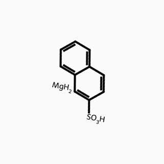 O=S(=O)(O)c1ccc2ccccc2c1.[MgH2]